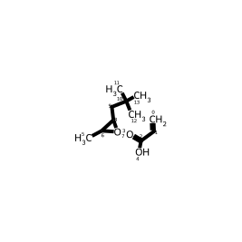 C=CC(=O)O.CC1OC1CC(C)(C)C